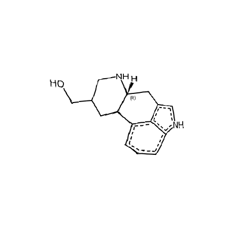 OCC1CN[C@@H]2Cc3c[nH]c4cccc(c34)C2C1